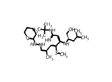 CSC(CC(C)CNNC1CCCCO1)/C(=C\C(=N)NC(C)(C)C)N[C@@H](CO)CC(C)C